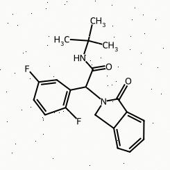 CC(C)(C)NC(=O)C(c1cc(F)ccc1F)N1Cc2ccccc2C1=O